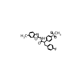 Cc1ccc2nc(NC(=O)C(Cc3ccc(F)cc3)c3ccc(S(C)(=O)=O)cc3)oc2c1